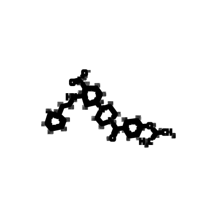 CC(C)Oc1ccc(C(=O)N2CCN(c3ccc([N+](=O)[O-])c(NCCc4ccccc4)c3)CC2)cc1